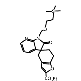 CCOC(=O)c1cc2c(o1)CCC1(C2)C(=O)N(COCC[Si](C)(C)C)c2ncccc21